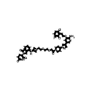 Nc1ncc(-c2cnn(C3CCN(C(=O)COCCOCCN4CC(Nc5cccc6c5CN([C@@H]5CCC(=O)NC5=O)C6=O)C4)CC3)c2)cc1OCCc1c(Cl)ccc(F)c1Cl